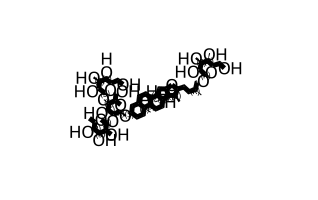 CC1O[C@@H](OC2[C@H](O[C@H]3CC[C@@]4(C)C(=CC[C@H]5[C@@H]6CC7OC(CC[C@@H](C)CO[C@@H]8OC(CO)[C@@H](O)[C@H](O)C8O)[C@@H](C)[C@@H]7[C@@]6(C)CC[C@@H]54)C3)OC(CO)[C@@H](O[C@@H]3OC(CO)[C@@H](O)[C@H](O)C3O)[C@@H]2O)C(O)[C@@H](O)[C@H]1O